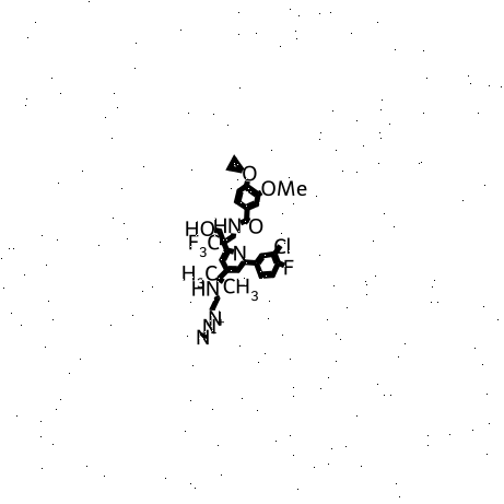 COc1cc(C(=O)NCC(CO)(c2cc(C(C)(C)NCCN=[N+]=[N-])cc(-c3ccc(F)c(Cl)c3)n2)C(F)(F)F)ccc1OC1CC1